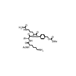 CSC(=O)OCc1ccc(NC(=O)[C@H](CCCNC(N)=O)NC(=O)[C@@H](NC(=O)[C@H](CCCCN)NC(C)=O)C(C)C)cc1